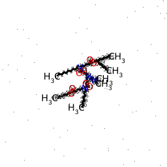 CCCCCCCCCCN(CCCCC(=O)OCC(CCCCCC)CCCCCC)C(=O)OCCN(CCOC(=O)N(CCCCCCCC)CCCCC(=O)OCCCCCCC)CCN(CC)CC